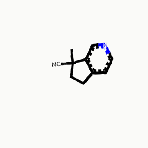 CC1(C#N)CCc2ccncc21